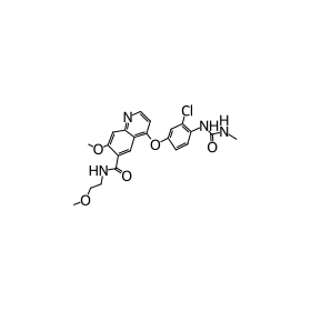 CNC(=O)Nc1ccc(Oc2ccnc3cc(OC)c(C(=O)NCCOC)cc23)cc1Cl